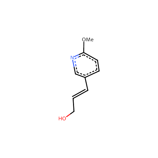 COc1ccc(/C=C/CO)cn1